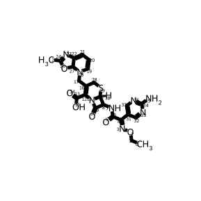 CCO/N=C(/C(=O)NC1C(=O)N2C(C(=O)O)=C(CN3C=CC=C4N=C(C)OC43)CS[C@H]12)c1cnc(N)nc1